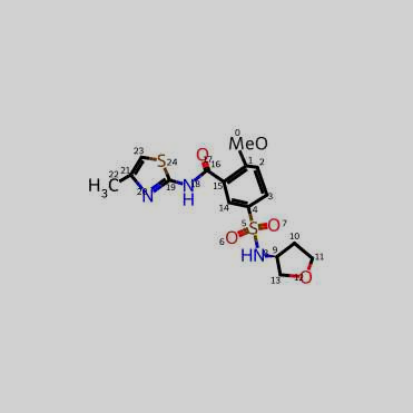 COc1ccc(S(=O)(=O)N[C@H]2CCOC2)cc1C(=O)Nc1nc(C)cs1